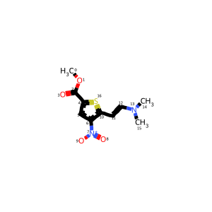 COC(=O)c1cc([N+](=O)[O-])c(C=CN(C)C)s1